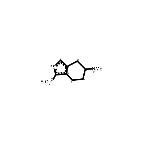 CCOC(=O)c1scc2c1CCC(NC)C2